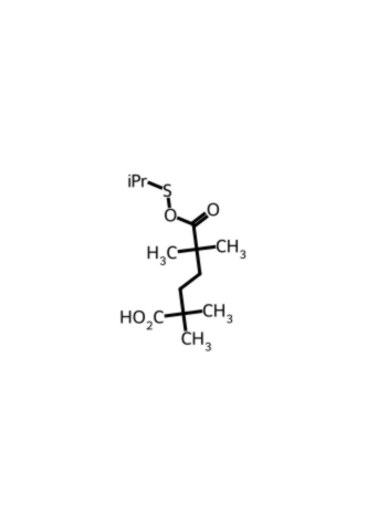 CC(C)SOC(=O)C(C)(C)CCC(C)(C)C(=O)O